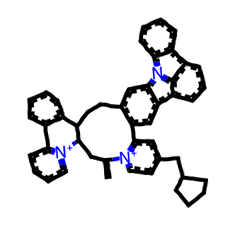 C=C1CC2C(CCc3cc4c(cc3-c3cc(CC5CCCC5)cc[n+]31)c1cccc3c5ccccc5n4c31)c1ccccc1-c1cccc[n+]12